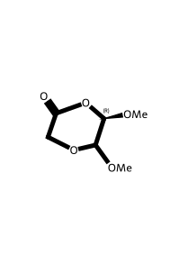 COC1OCC(=O)O[C@H]1OC